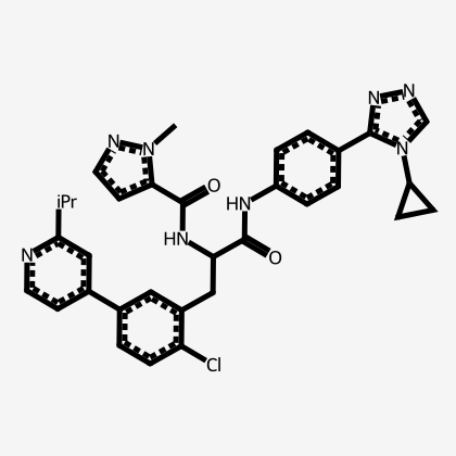 CC(C)c1cc(-c2ccc(Cl)c(CC(NC(=O)c3ccnn3C)C(=O)Nc3ccc(-c4nncn4C4CC4)cc3)c2)ccn1